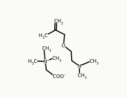 C=C(C)COCCN(C)C.C[N+](C)(C)CC(=O)[O-]